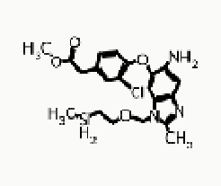 COC(=O)Cc1ccc(Oc2cc3c(cc2N)nc(C)n3COCC[SiH2]C)c(Cl)c1